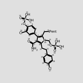 CCCC(C)Cc1c(-c2ccc(OP(=O)(O)O)c(Cl)c2)c(C(N)=O)c(CCc2ccc(Cl)cc2)n1COP(=O)(O)O